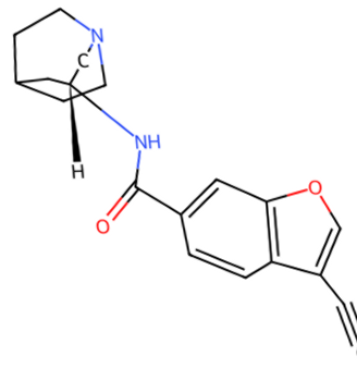 C#Cc1coc2cc(C(=O)N[C@@H]3CC4CCN(CC4)C3)ccc12